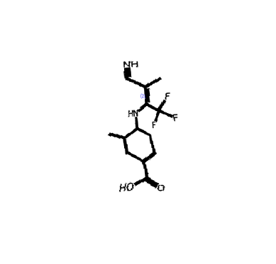 C/C(C=N)=C(/NC1CCC(C(=O)O)CC1C)C(F)(F)F